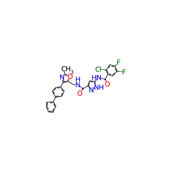 Cc1nc(-c2ccc(-c3ccccc3)cc2)c(CNC(=O)c2cc(NC(=O)c3cc(F)c(F)cc3Cl)[nH]n2)o1